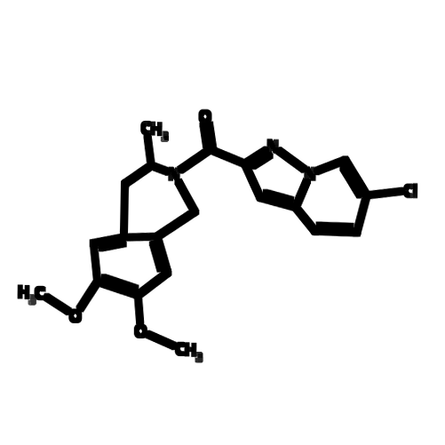 COc1cc2c(cc1OC)CN(C(=O)c1cc3ccc(Cl)cn3n1)C(C)C2